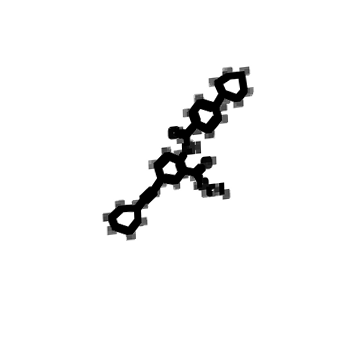 COC(=O)c1cc(C#CC2CCCCC2)ccc1NC(=O)c1ccc(C2CCCCC2)cc1